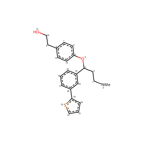 CNCCC(Oc1ccc(CCO)cc1)c1cccc(-c2cccs2)c1